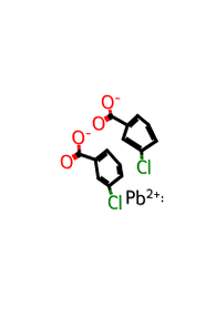 O=C([O-])c1cccc(Cl)c1.O=C([O-])c1cccc(Cl)c1.[Pb+2]